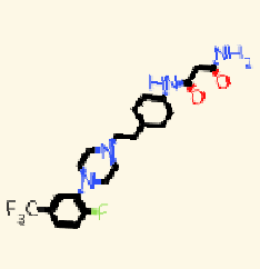 NC(=O)CC(=O)NC1CCC(CCN2CCN(c3cc(C(F)(F)F)ccc3F)CC2)CC1